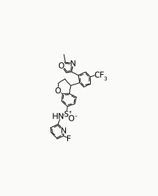 Cc1nc(-c2cc(C(F)(F)F)ccc2C2CCOc3cc([S+]([O-])Nc4cccc(F)n4)ccc32)co1